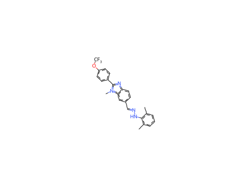 Cc1cccc(C)c1N/N=C/c1ccc2nc(-c3ccc(OC(F)(F)F)cc3)n(C)c2c1